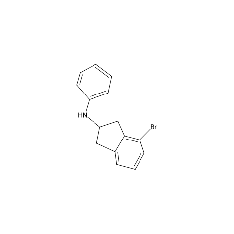 Brc1cccc2c1CC(Nc1ccccc1)C2